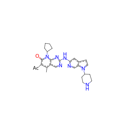 CC(=O)c1c(C)c2cnc(Nc3cc4ccn(C5CCNCC5)c4cn3)nc2n(C2CCCC2)c1=O